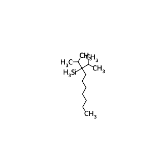 CCCCCCCC([SiH3])(C(C)C)C(C)C